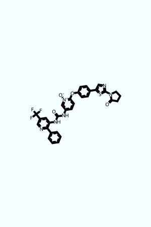 O=C(Nc1ccc(Oc2ccc(-c3cnc(N4CCCC4=O)s3)cc2)[n+]([O-])c1)Nc1cc(C(F)(F)F)cnc1-c1ccccc1